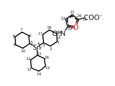 C1CC[CH]([Sn]([CH]2CCCCC2)[CH]2CCCCC2)CC1.O=C([O-])c1ccc([N+](=O)[O-])o1